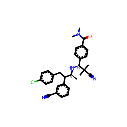 C[C@H](N[C@@H](c1ccc(C(=O)N(C)C)cc1)C(C)(C)C#N)C(Cc1ccc(Cl)cc1)c1cccc(C#N)c1